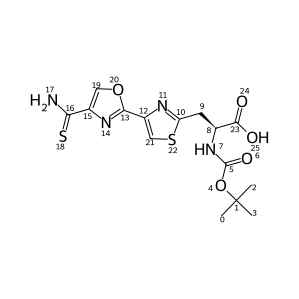 CC(C)(C)OC(=O)N[C@@H](Cc1nc(-c2nc(C(N)=S)co2)cs1)C(=O)O